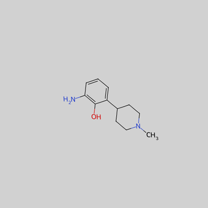 CN1CCC(c2cccc(N)c2O)CC1